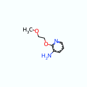 COCCOc1ncccc1N